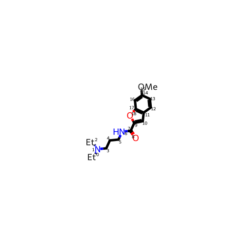 CCN(CC)CCCNC(=O)c1cc2ccc(OC)cc2o1